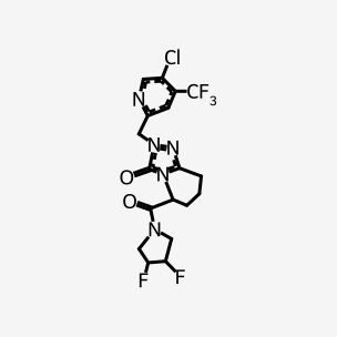 O=C(C1CCCc2nn(Cc3cc(C(F)(F)F)c(Cl)cn3)c(=O)n21)N1CC(F)C(F)C1